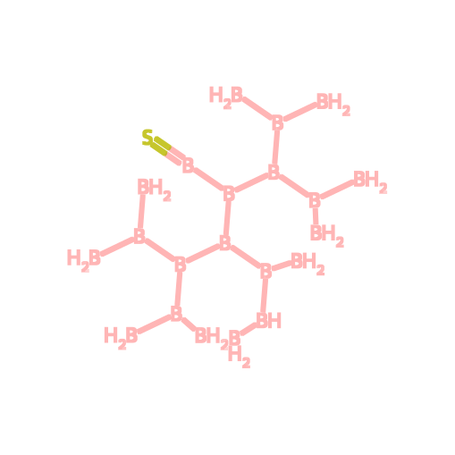 BBB(B)B(B(B=S)B(B(B)B)B(B)B)B(B(B)B)B(B)B